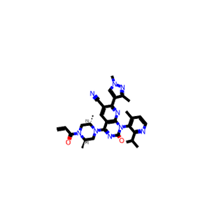 C=CC(=O)N1C[C@H](C)N(c2nc(=O)n(-c3c(C)ccnc3C(C)C)c3nc(-c4cn(C)nc4C)c(C#N)cc23)C[C@H]1C